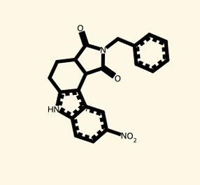 O=C1C2CCc3[nH]c4ccc([N+](=O)[O-])cc4c3C2C(=O)N1Cc1ccccc1